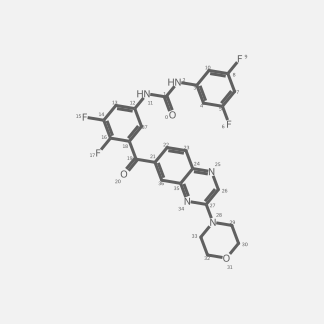 O=C(Nc1cc(F)cc(F)c1)Nc1cc(F)c(F)c(C(=O)c2ccc3ncc(N4CCOCC4)nc3c2)c1